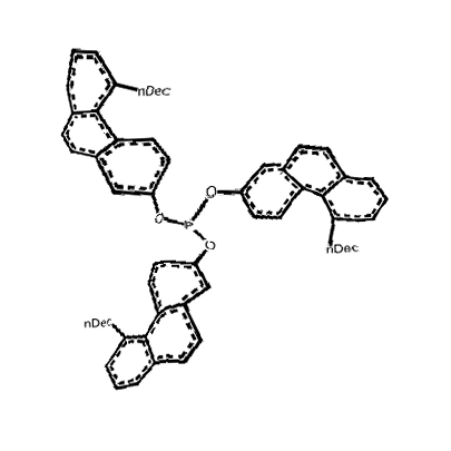 CCCCCCCCCCc1cccc2ccc3cc(OP(Oc4ccc5c(ccc6cccc(CCCCCCCCCC)c65)c4)Oc4ccc5c(ccc6cccc(CCCCCCCCCC)c65)c4)ccc3c12